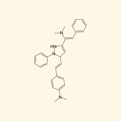 CN(C)C(=Cc1ccccc1)C1=CC(C=Cc2ccc(N(C)C)cc2)N(c2ccccc2)N1